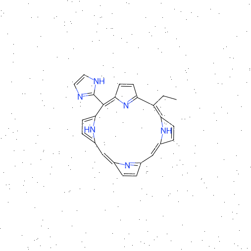 CCc1c2nc(c(-c3ncc[nH]3)c3ccc(cc4nc(cc5ccc1[nH]5)C=C4)[nH]3)C=C2